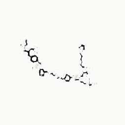 CCN(CCO)C(=O)C1=Cc2ccc(C(=O)Nc3cncc(CNC(=O)CNC(=O)OCc4ccc(NC(=O)[C@H](CCCNC(N)=O)NC(=O)[C@@H](NC(=O)CCCCCN5C(=O)C=CC5=O)C(C)C)cc4)c3)cc2N=C(N)C1